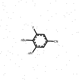 CCCCc1c(F)cc(C#N)cc1CCC